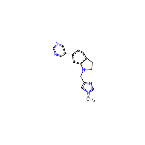 Cn1cnc(CN2CCc3ccc(-c4cncnc4)cc32)c1